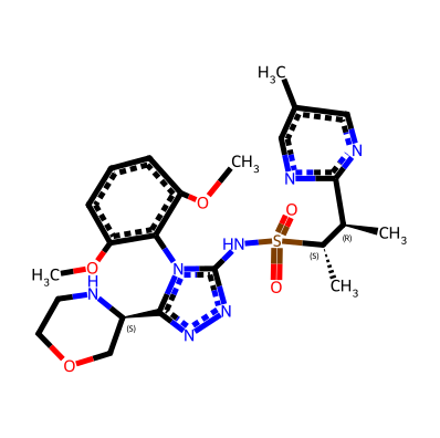 COc1cccc(OC)c1-n1c(NS(=O)(=O)[C@@H](C)[C@H](C)c2ncc(C)cn2)nnc1[C@H]1COCCN1